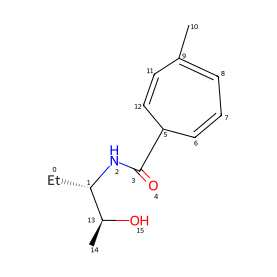 CC[C@H](NC(=O)C1C=CC=C(C)C=C1)[C@H](C)O